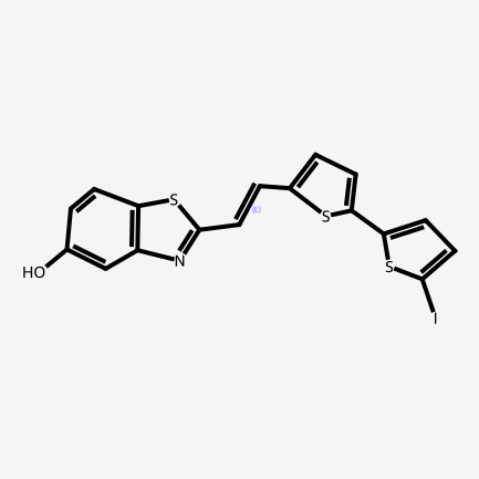 Oc1ccc2sc(/C=C/c3ccc(-c4ccc(I)s4)s3)nc2c1